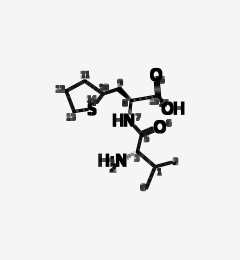 CC(C)[C@H](N)C(=O)N[C@@H](CC1CCCS1)C(=O)O